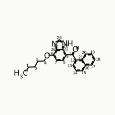 CCCCCOc1ccc(C(=O)c2cccc3ccccc23)c2[nH]cnc12